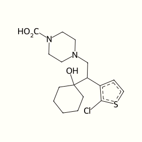 O=C(O)N1CCN(CC(c2ccsc2Cl)C2(O)CCCCC2)CC1